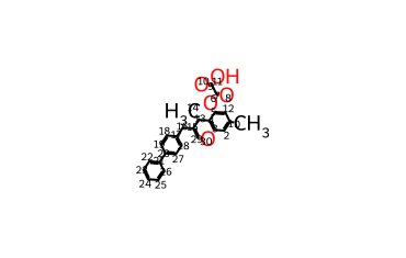 Cc1cc2c(c(OC(=O)C(=O)O)c1)C(C)C(Cc1ccc(-c3ccccc3)cc1)=CO2